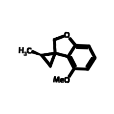 COc1cccc2c1C1(CO2)C[C@H]1C